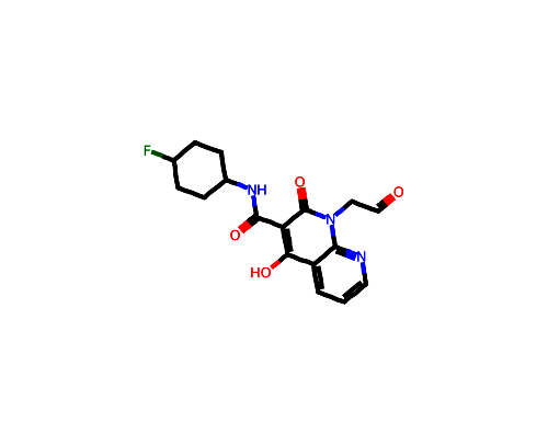 O=CCn1c(=O)c(C(=O)NC2CCC(F)CC2)c(O)c2cccnc21